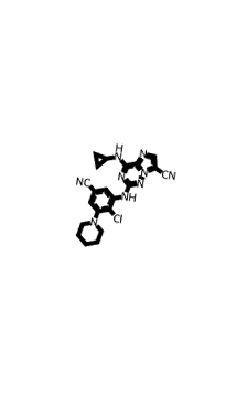 N#Cc1cc(Nc2nc(NC3CC3)c3ncc(C#N)n3n2)c(Cl)c(N2CCCCC2)c1